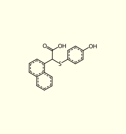 O=C(O)C(Sc1ccc(O)cc1)c1cccc2ccccc12